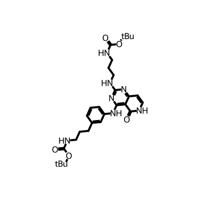 CC(C)(C)OC(=O)NCCCNc1nc(Nc2cccc(CCCNC(=O)OC(C)(C)C)c2)c2c(=O)[nH]ccc2n1